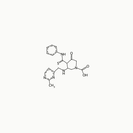 Cc1nccc(CNC2CN(C(=O)O)CC(=O)C2C(=S)Nc2ccccc2)n1